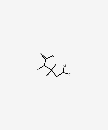 CC(C)(CC(Cl)Cl)C(Cl)C(=O)Cl